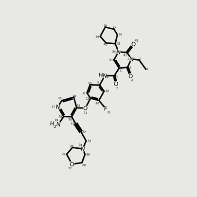 CCn1c(=O)c(C(=O)Nc2ccc(Oc3ccnc(N)c3C#CCN3CCOCC3)c(F)c2)cn(C2CCCCC2)c1=O